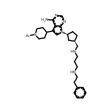 CC(=O)N1CCC(c2cn([C@H]3CC[C@@H](CNCCCNCCc4ccccc4)C3)c3ncnc(N)c23)CC1